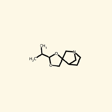 CC(C)C1OCC2(CN3CCC2C3)O1